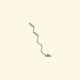 C=CC=CCCCC[CH]CC